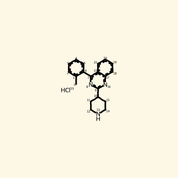 Cc1ccccc1-c1nc(C2CCNCC2)nc2ccccc12.Cl